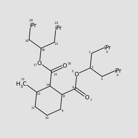 CC(C)CC(CC(C)C)OC(=O)C1CCCC(C)C1C(=O)OC(CC(C)C)CC(C)C